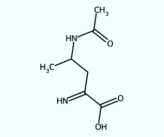 CC(=O)NC(C)CC(=N)C(=O)O